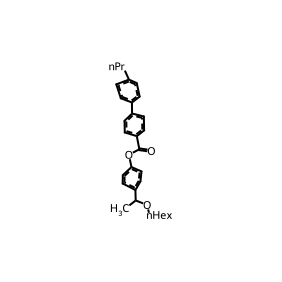 CCCCCCOC(C)c1ccc(OC(=O)c2ccc(-c3ccc(CCC)cc3)cc2)cc1